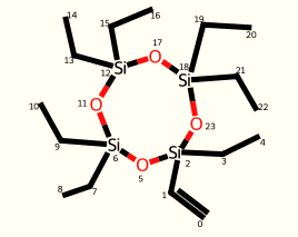 C=C[Si]1(CC)O[Si](CC)(CC)O[Si](CC)(CC)O[Si](CC)(CC)O1